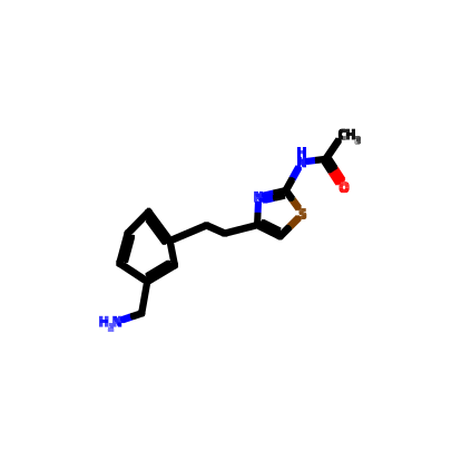 CC(=O)Nc1nc(CCc2cccc(CN)c2)cs1